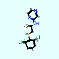 S=C(CSc1c(Cl)cccc1Cl)Nc1cnccn1